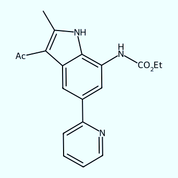 CCOC(=O)Nc1cc(-c2ccccn2)cc2c(C(C)=O)c(C)[nH]c12